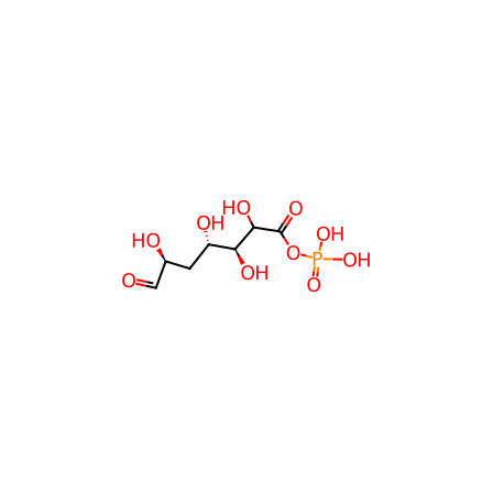 O=C[C@@H](O)C[C@H](O)[C@H](O)C(O)C(=O)OP(=O)(O)O